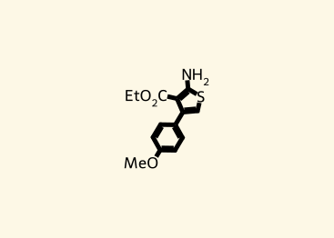 CCOC(=O)c1c(-c2ccc(OC)cc2)csc1N